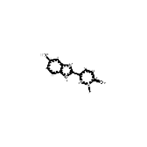 Cn1nc(-c2nc3cc(O)ccc3o2)ccc1=O